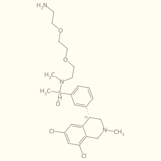 CN1Cc2c(Cl)cc(Cl)cc2[C@H](c2cccc([SH](C)(=O)N(C)CCOCCOCCN)c2)C1